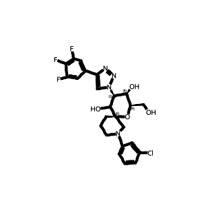 OC[C@H]1O[C@@]2(CCCN(c3cccc(Cl)c3)C2)C(O)[C@@H](n2cc(-c3cc(F)c(F)c(F)c3)nn2)[C@H]1O